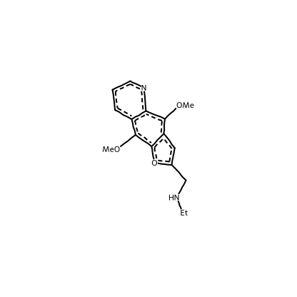 CCNCc1cc2c(OC)c3ncccc3c(OC)c2o1